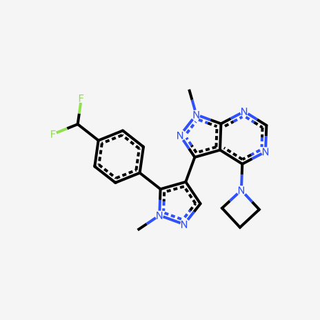 Cn1ncc(-c2nn(C)c3ncnc(N4CCC4)c23)c1-c1ccc(C(F)F)cc1